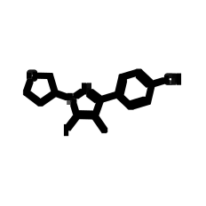 Cc1c(-c2ccc(C#N)cc2)nn(C2CCOC2)c1I